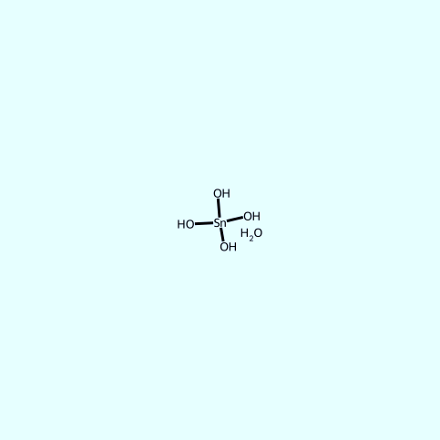 O.[OH][Sn]([OH])([OH])[OH]